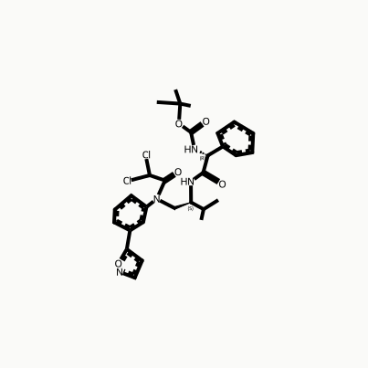 CC(C)[C@@H](CN(C(=O)C(Cl)Cl)c1cccc(-c2ccno2)c1)NC(=O)[C@H](NC(=O)OC(C)(C)C)c1ccccc1